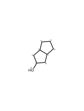 OC1CC2CCCC2C1